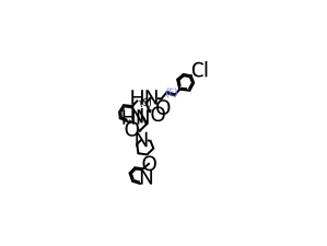 O=C(/C=C/c1ccc(Cl)cc1)N[C@@H](Cc1ccccn1)C(=O)NCC(=O)N1CCC(Oc2ccccn2)CC1